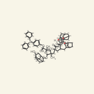 CC1C2CCC(C2)C1CC(CC(C)(CC(C)(CC(C)(C)C(=O)Oc1ccc([S+](c2ccccc2)c2ccccc2)cc1)C(=O)OC1C2CC3CC1CC(O)(C3)C2)C(=O)OC1CCOC1=O)C(=O)CC1(C)C2CC3CC(C2)CC1C3